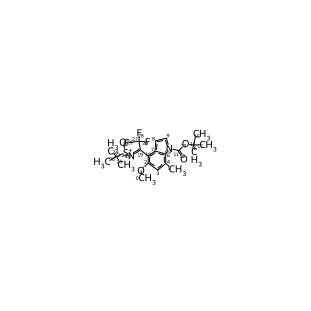 COc1cc(C)c2c(ccn2C(=O)OC(C)(C)C)c1/C(=N/[S+]([O-])C(C)(C)C)C(F)(F)F